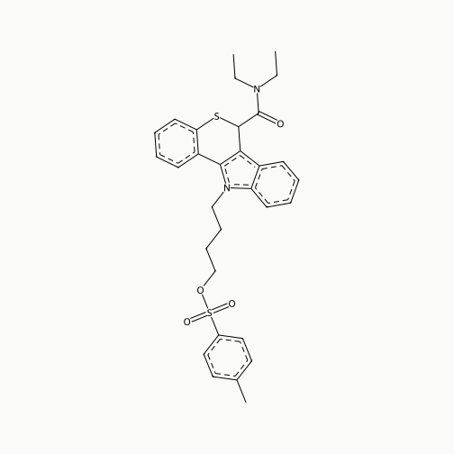 CCN(CC)C(=O)C1Sc2ccccc2-c2c1c1ccccc1n2CCCCOS(=O)(=O)c1ccc(C)cc1